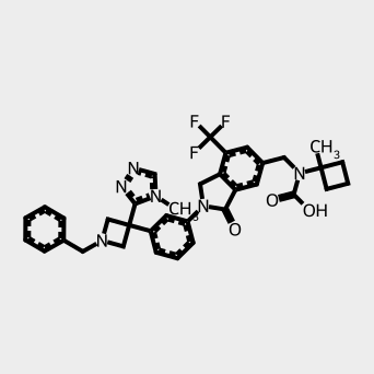 Cn1cnnc1C1(c2cccc(N3Cc4c(cc(CN(C(=O)O)C5(C)CCC5)cc4C(F)(F)F)C3=O)c2)CN(Cc2ccccc2)C1